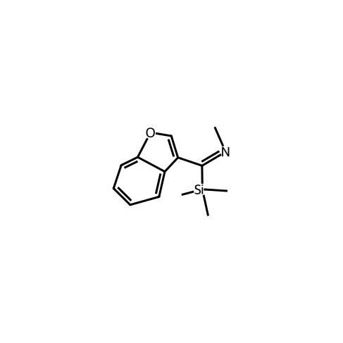 C/N=C(\c1coc2ccccc12)[Si](C)(C)C